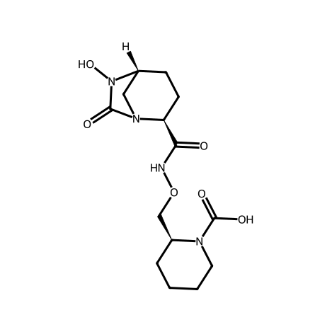 O=C(NOC[C@@H]1CCCCN1C(=O)O)[C@@H]1CC[C@@H]2CN1C(=O)N2O